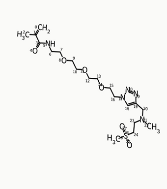 C=C(C)C(=O)NCCOCCOCCOCCn1cc(CN(C)CCS(C)(=O)=O)nn1